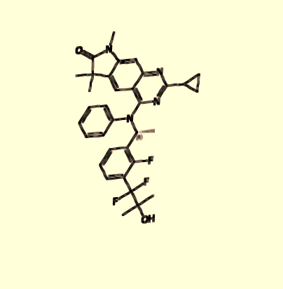 C[C@H](c1cccc(C(F)(F)C(C)(C)O)c1F)N(c1ccccc1)c1nc(C2CC2)nc2cc3c(cc12)C(C)(C)C(=O)N3C